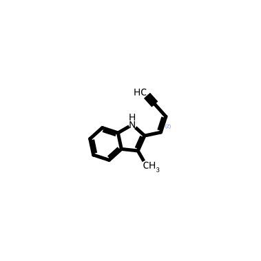 C#C/C=C\c1[nH]c2ccccc2c1C